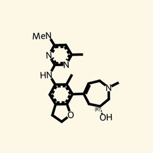 CNc1cc(C)nc(Nc2cc3c(c(C4=CCN(C)C[C@H](O)C4)c2C)OCC3)n1